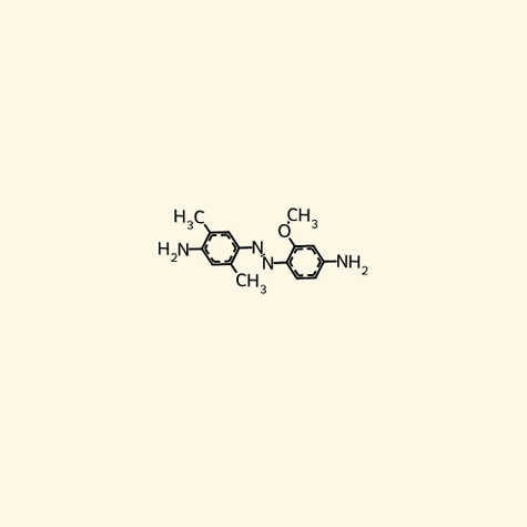 COc1cc(N)ccc1/N=N/c1cc(C)c(N)cc1C